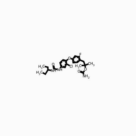 CCC(CC)NC(=O)Nc1ccc(Oc2ccc(CC(C)(C)OC(N)=O)c(F)c2)c(Cl)c1